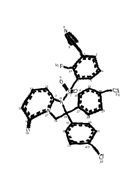 N#Cc1cccc(S(=O)(=O)N2c3cccc(=O)n3CC2(c2ccc(Cl)cc2)c2ccc(Cl)cc2)c1F